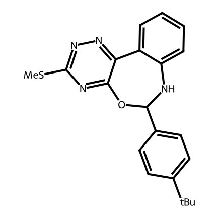 CSc1nnc2c(n1)OC(c1ccc(C(C)(C)C)cc1)Nc1ccccc1-2